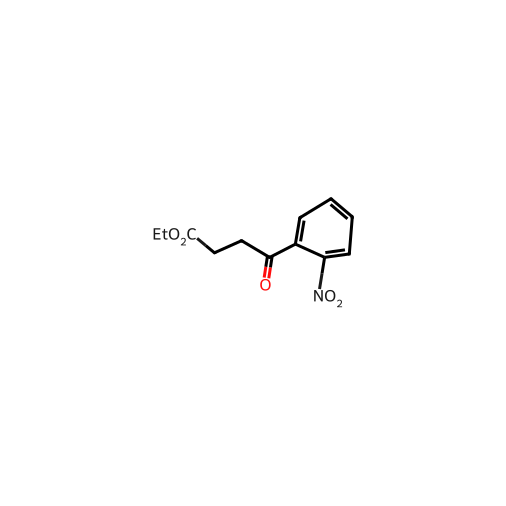 CCOC(=O)CCC(=O)c1ccccc1[N+](=O)[O-]